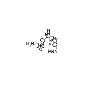 CNCc1cc(F)c(-c2ncc3[nH]nc(-c4ccc(C5CC(N)CCN5S(C)(=O)=O)cc4)c3n2)c(F)c1